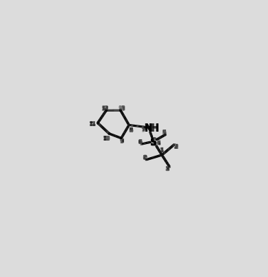 CC(C)(C)S(C)(C)NC1CCCCC1